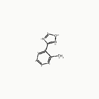 Cc1ccccc1-c1ncon1